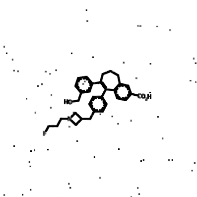 O=C(O)c1ccc2c(c1)CCCC(c1cccc(CO)c1)=C2c1ccc(CC2CN(CCCF)C2)cc1